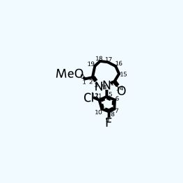 COC/C1=N/N(c2ccc(F)cc2Cl)C(=O)CCCCC1